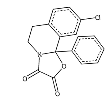 O=C1OC2(c3ccccc3)c3cc(Cl)ccc3CCN2C1=O